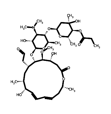 CCC(=O)O[C@H]1[C@H](C)O[C@@H](O[C@H]2[C@H](N(C)C)[C@@H](O)[C@H](O[C@H]3[C@@H](CC=O)C[C@@H](C)[C@@H](O)/C=C/C=C/C[C@@H](C)OC(=O)C[C@@H](O)[C@@H]3OC)O[C@@H]2C)C[C@@]1(C)O